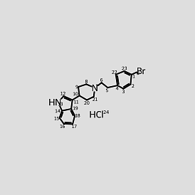 Brc1ccc(CCN2CCC(c3c[nH]c4ccccc34)CC2)cc1.Cl